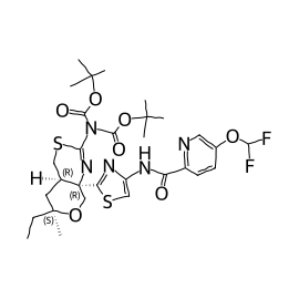 CC[C@@]1(C)C[C@H]2CSC(N(C(=O)OC(C)(C)C)C(=O)OC(C)(C)C)=N[C@@]2(c2nc(NC(=O)c3ccc(OC(F)F)cn3)cs2)CO1